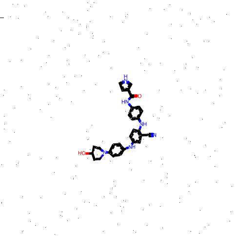 N#Cc1cc(Nc2ccc(N3CCC(O)CC3)cc2)ccc1Nc1ccc(NC(=O)c2cc[nH]c2)cc1